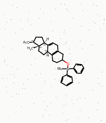 CC(=O)O[C@H]1CC[C@H]2C3=CCC4=C(CCC(O[Si](c5ccccc5)(c5ccccc5)C(C)(C)C)C4)[C@H]3CC[C@]12C